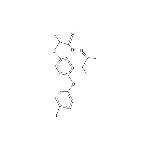 CCC(C)=NOC(=O)C(C)Oc1ccc(Oc2ccc(I)cc2)cc1